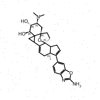 CN(C)[C@H]1C[C@@]23CC[C@@]4(O2)C(=CC[C@]2(C)C(c5ccc6nc(N)oc6c5)=CCC24)C2CC23[C@@H](O)[C@@H]1O